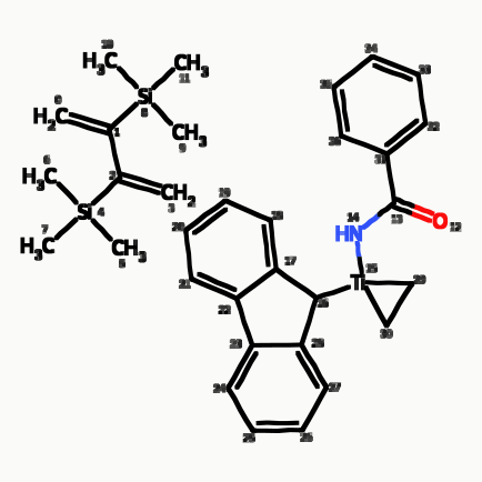 C=C(C(=C)[Si](C)(C)C)[Si](C)(C)C.O=C([NH][Ti]1([CH]2c3ccccc3-c3ccccc32)[CH2][CH2]1)c1ccccc1